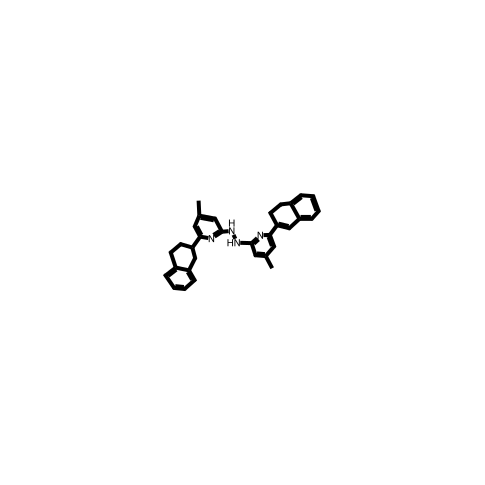 Cc1cc(NNc2cc(C)cc(C3CCc4ccccc4C3)n2)nc(C2=Cc3ccccc3CC2)c1